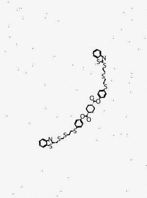 O=C(Oc1ccc(SCCSCCSc2nc3ccccc3s2)cc1)[C@H]1CC[C@H](C(=O)Oc2ccc(SCCSCSCc3nc4ccccc4s3)cc2)CC1